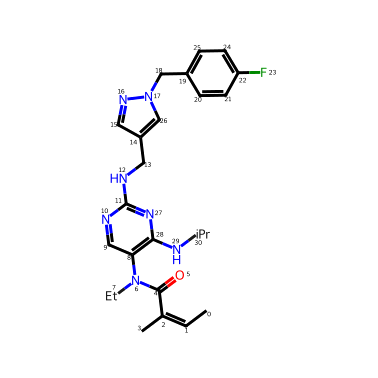 C/C=C(/C)C(=O)N(CC)c1cnc(NCc2cnn(Cc3ccc(F)cc3)c2)nc1NC(C)C